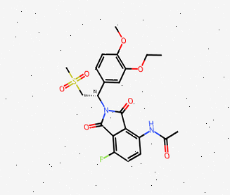 CCOc1cc([C@@H](CS(C)(=O)=O)N2C(=O)c3c(F)ccc(NC(C)=O)c3C2=O)ccc1OC